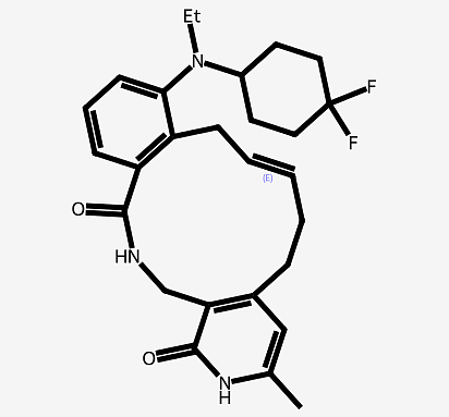 CCN(c1cccc2c1C/C=C/CCc1cc(C)[nH]c(=O)c1CNC2=O)C1CCC(F)(F)CC1